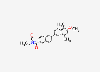 CC[N+](=C=O)C(=O)c1ccc2cc(-c3ccc4c(C)c(OC)cc(C)c4c3)ccc2c1